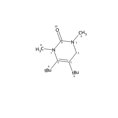 CN1CC(C(C)(C)C)=C(C(C)(C)C)N(C)C1=O